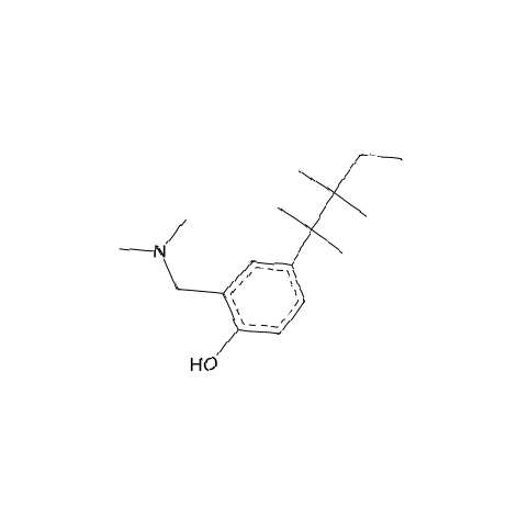 CCC(C)(C)C(C)(C)c1ccc(O)c(CN(C)C)c1